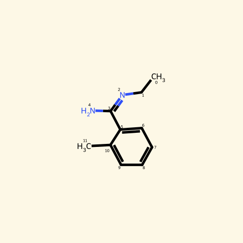 CC/N=C(/N)c1ccccc1C